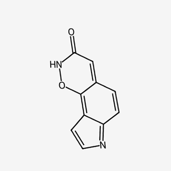 O=c1cc2ccc3nccc3c2o[nH]1